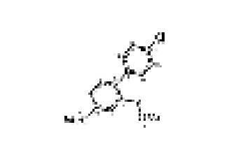 COCc1cc(OC)ccc1-c1ccc(Cl)cc1